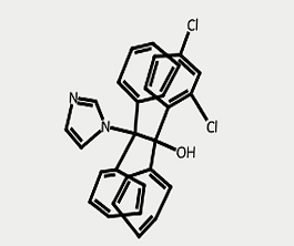 OC(c1ccccc1)(c1ccc(Cl)cc1Cl)C(c1ccccc1)(c1ccccc1)n1ccnc1